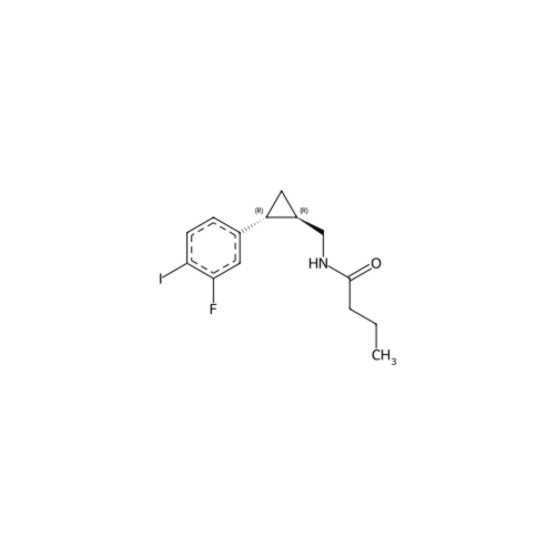 CCCC(=O)NC[C@@H]1C[C@H]1c1ccc(I)c(F)c1